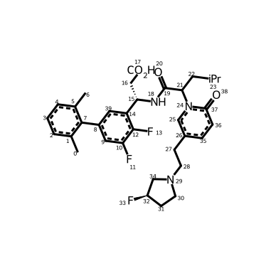 Cc1cccc(C)c1-c1cc(F)c(F)c([C@H](CC(=O)O)NC(=O)C(CC(C)C)n2cc(CCN3CC[C@@H](F)C3)ccc2=O)c1